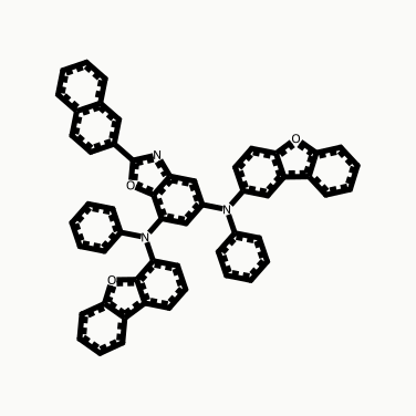 c1ccc(N(c2cc(N(c3ccccc3)c3cccc4c3oc3ccccc34)c3oc(-c4ccc5ccccc5c4)nc3c2)c2ccc3oc4ccccc4c3c2)cc1